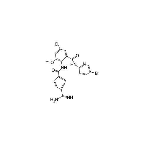 COc1cc(Cl)cc(C(=O)Nc2ccc(Br)cn2)c1NC(=O)c1ccc(C(=N)N)cc1